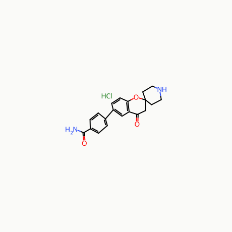 Cl.NC(=O)c1ccc(-c2ccc3c(c2)C(=O)CC2(CCNCC2)O3)cc1